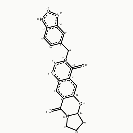 O=C1c2cc3nnn(Cc4ccc5nonc5c4)c(=O)c3cc2OC2CCCN12